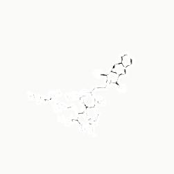 CC(C)C[C@H](N[C@H](CCN1C(=O)c2cc3ccccc3cc2C1=O)C(=O)O)C(=O)N(C)[C@@H](CCCNC(=N)N)C(N)=O